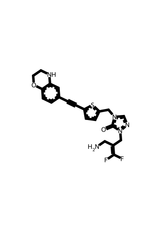 NCC(Cn1ncn(Cc2ccc(C#Cc3ccc4c(c3)NCCO4)s2)c1=O)=C(F)F